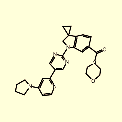 O=C(c1ccc2c(c1)N(c1ncc(-c3cc(N4CCCC4)ccn3)cn1)CC21CC1)N1CCOCC1